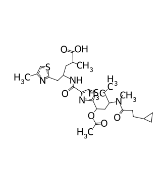 CC(=O)OC(CC(C(C)C)N(C)C(=O)CCC1CC1)c1nc(C(=O)NC(Cc2nc(C)cs2)CC(C)C(=O)O)cs1